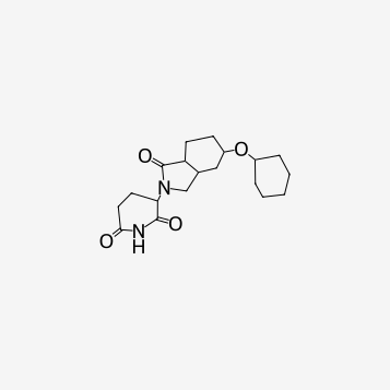 O=C1CCC(N2CC3CC(OC4CCCCC4)CCC3C2=O)C(=O)N1